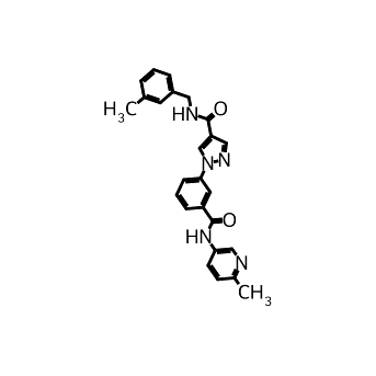 Cc1cccc(CNC(=O)c2cnn(-c3cccc(C(=O)Nc4ccc(C)nc4)c3)c2)c1